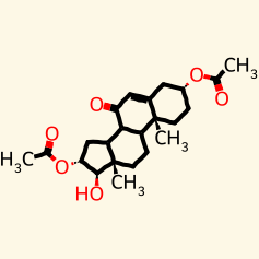 CC(=O)O[C@@H]1CC[C@@]2(C)C(=CC(=O)C3C2CC[C@@]2(C)C3C[C@@H](OC(C)=O)[C@@H]2O)C1